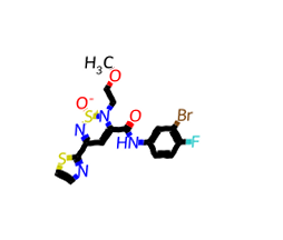 COCCN1C(C(=O)Nc2ccc(F)c(Br)c2)=CC(c2nccs2)=N[S+]1[O-]